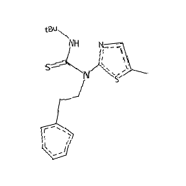 Cc1cnc(N(CCc2ccccc2)C(=S)NC(C)(C)C)s1